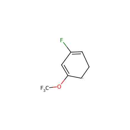 FC1=CC[CH]C(OC(F)(F)F)=C1